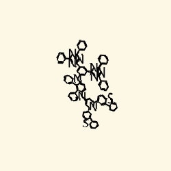 c1ccc(-c2nc(-c3ccccc3)nc(-c3cc(-c4nc(-c5ccccc5)nc(-c5ccccc5)n4)cc(-n4c5ccccc5c5c6c7ccccc7n(-c7cc(-c8ccc9sc%10ccccc%10c9c8)nc(-c8ccc9sc%10ccccc%10c9c8)c7)c6ccc54)c3)n2)cc1